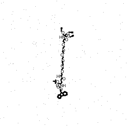 C#CCOCC(COCC#C)(COCC#C)NC(=O)CCOCCOCCOCCOCCOCCOCCNC(=O)CCC(NC(=O)OCC1c2ccccc2-c2ccccc21)C(=O)OC(C)(C)C